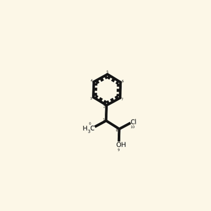 CC(c1ccccc1)C(O)Cl